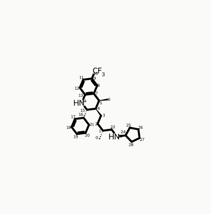 C[C@H](CC[C@@H]1[C@H](C)c2cc(C(F)(F)F)ccc2N[C@H]1C1C=CC=CC1)CNC1CCCC1